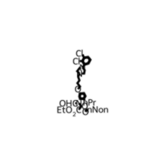 CCCCCCCCCC(=O)OC(C(=O)OCC)N(C=O)c1cc(OCCCCN2CCN(c3cccc(Cl)c3Cl)CC2)ccc1CCC